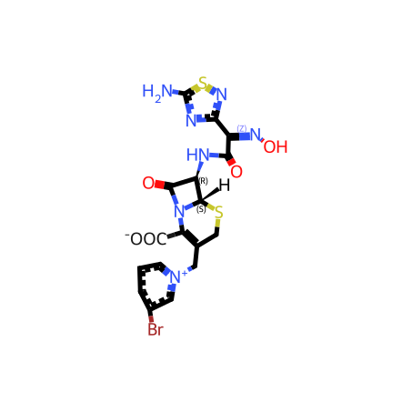 Nc1nc(/C(=N/O)C(=O)N[C@@H]2C(=O)N3C(C(=O)[O-])=C(C[n+]4cccc(Br)c4)CS[C@@H]23)ns1